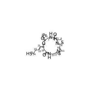 CC(C)[C@@H]1NC(=O)[C@@H]2CSC(=N2)c2csc(n2)CNC(=O)C[C@@H](/C=C/CCS)OC1=O